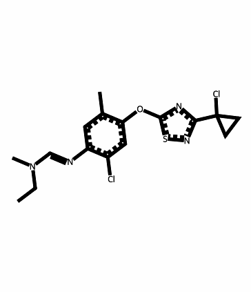 CCN(C)C=Nc1cc(C)c(Oc2nc(C3(Cl)CC3)ns2)cc1Cl